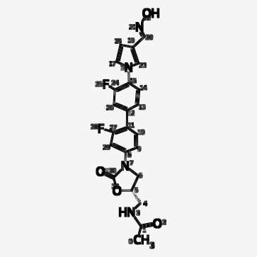 CC(=O)NC[C@H]1CN(c2ccc(-c3ccc(-n4ccc(/C=N/O)c4)c(F)c3)c(F)c2)C(=O)O1